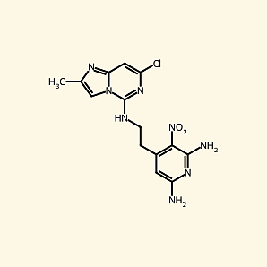 Cc1cn2c(NCCc3cc(N)nc(N)c3[N+](=O)[O-])nc(Cl)cc2n1